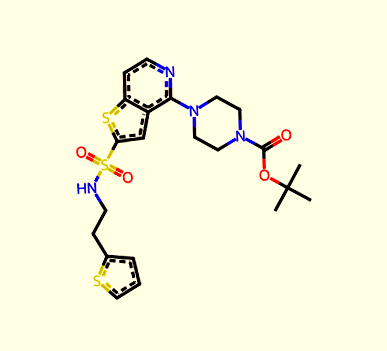 CC(C)(C)OC(=O)N1CCN(c2nccc3sc(S(=O)(=O)NCCc4cccs4)cc23)CC1